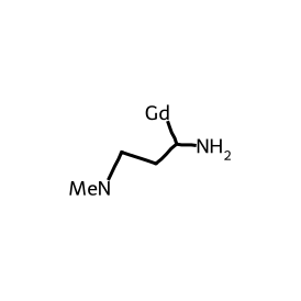 CNCC[CH](N)[Gd]